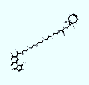 C=C/C(=C\C(C(=O)NCCOCCOCCOCCOCCNC(=O)OC[C@@H]1[C@@H]2CCC#CCC[C@@H]21)=C(/C)F)N1C(=O)C=CC1=O